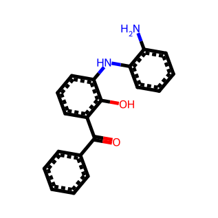 Nc1ccccc1Nc1cccc(C(=O)c2ccccc2)c1O